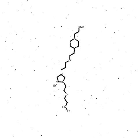 CCNCCOCCN1C[C@@H](CCCOCCC2CCN(CCOC)CC2)C[C@H]1CC